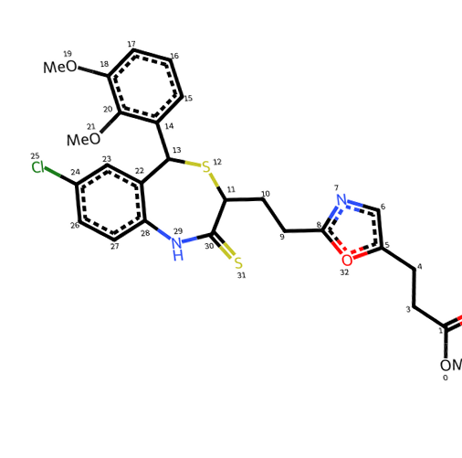 COC(=O)CCc1cnc(CCC2SC(c3cccc(OC)c3OC)c3cc(Cl)ccc3NC2=S)o1